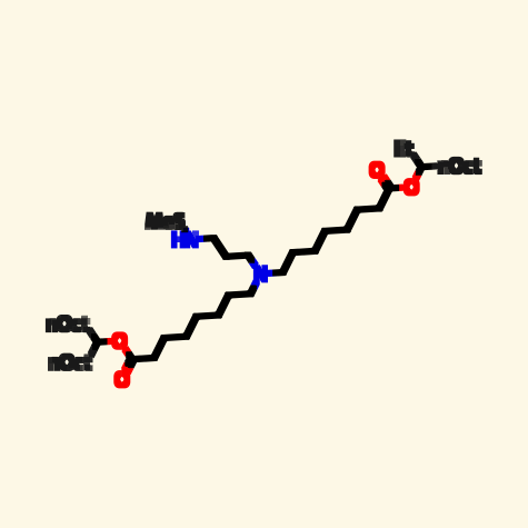 CCCCCCCCC(CC)OC(=O)CCCCCCCN(CCCCCCCC(=O)OC(CCCCCCCC)CCCCCCCC)CCCNSC